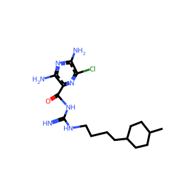 CC1CCC(CCCCNC(=N)NC(=O)c2nc(Cl)c(N)nc2N)CC1